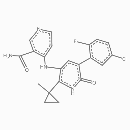 CC1(c2[nH]c(=O)c(-c3cc(Cl)ccc3F)cc2Nc2ccncc2C(N)=O)CC1